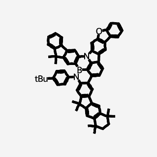 CC(C)(C)c1ccc(N2B3c4cc5c(cc4-n4c6cc7oc8ccccc8c7cc6c6ccc(c3c64)-c3cc4c(cc32)C(C)(C)c2cc3c(cc2-4)C(C)(C)CCC3(C)C)-c2ccccc2C5(C)C)cc1